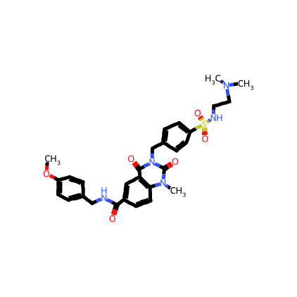 COc1ccc(CNC(=O)c2ccc3c(c2)c(=O)n(Cc2ccc(S(=O)(=O)NCCN(C)C)cc2)c(=O)n3C)cc1